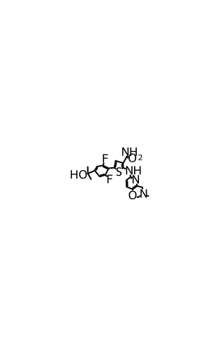 CN1COc2ccc(Nc3sc(-c4c(F)cc(C(C)(C)O)cc4F)cc3C(N)=O)nc2C1